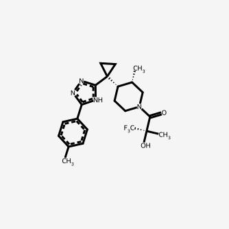 Cc1ccc(-c2nnc(C3([C@H]4CCN(C(=O)[C@@](C)(O)C(F)(F)F)C[C@H]4C)CC3)[nH]2)cc1